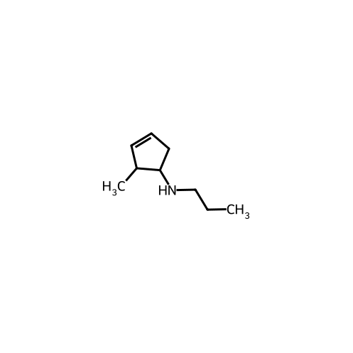 CCCNC1CC=CC1C